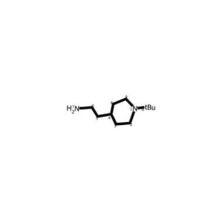 CC(C)(C)N1CCC(CCN)CC1